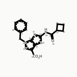 O=C(O)c1nn(Cc2ccccc2)c2nc(NC(=O)C3CCC3)sc12